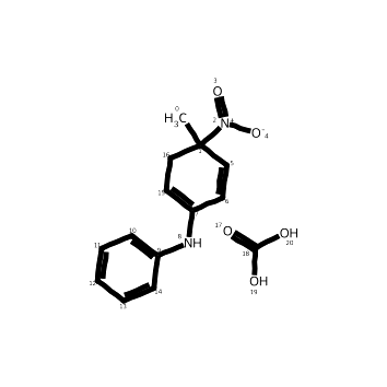 CC1([N+](=O)[O-])C=CC(Nc2ccccc2)=CC1.O=C(O)O